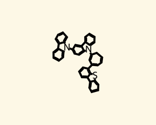 C1=CCC(n2c3ccccc3c3cc(-n4c5ccccc5c5ccccc54)ccc32)=CC(c2cccc3c2sc2ccccc23)=C1